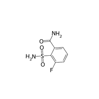 NC(=O)c1cccc(F)c1S(N)(=O)=O